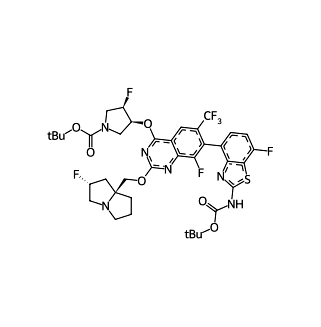 CC(C)(C)OC(=O)Nc1nc2c(-c3c(C(F)(F)F)cc4c(O[C@H]5CN(C(=O)OC(C)(C)C)C[C@H]5F)nc(OC[C@@]56CCCN5C[C@H](F)C6)nc4c3F)ccc(F)c2s1